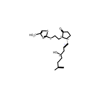 C=C(C)CC[C@@H](O)C/C=C/[C@H]1CCC(=O)[C@@H]1CCSc1nc(C(=O)O)cs1